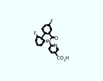 O=C(O)c1ccc(NC(=O)c2cc(F)ccc2-c2ccccc2F)nc1